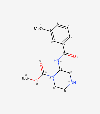 COc1cccc(C(=O)NC2CNCCN2C(=O)OC(C)(C)C)c1